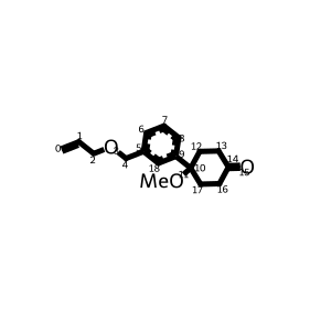 C=CCOCc1cccc(C2(OC)CCC(=O)CC2)c1